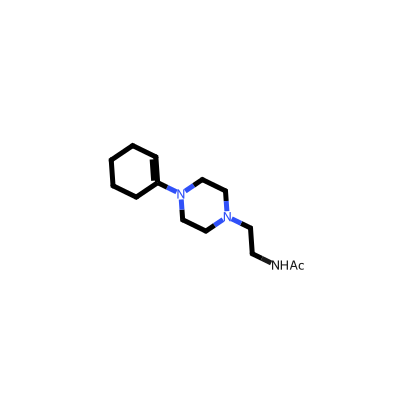 CC(=O)NCCN1CCN(C2=CCCCC2)CC1